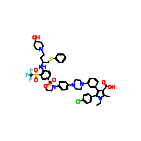 CCn1c(C)c(C(=O)O)c(-c2cccc(N3CCN(c4ccc(N5CCO[P@]5(=O)c5ccc(NC(CCN6CCC(O)CC6)CSc6ccccc6)c(S(=O)(=O)C(F)(F)F)c5)cc4)CC3)c2)c1-c1ccc(Cl)cc1